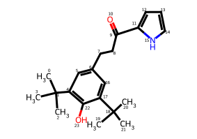 CC(C)(C)c1cc(CCC(=O)c2ccc[nH]2)cc(C(C)(C)C)c1O